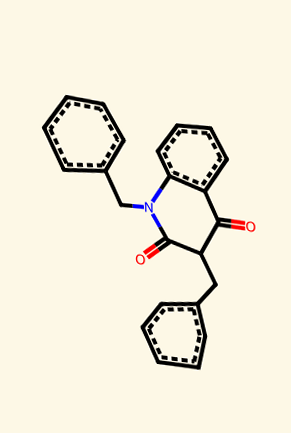 O=C1c2ccccc2N(Cc2ccccc2)C(=O)C1Cc1ccccc1